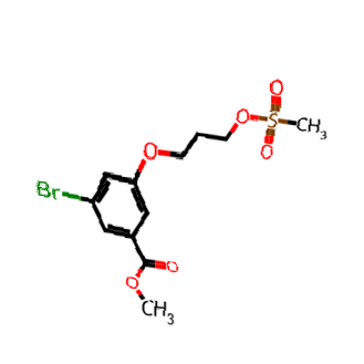 COC(=O)c1cc(Br)cc(OCCCOS(C)(=O)=O)c1